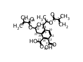 C=C(C)C(=O)OC(C)Cc1ccc(C(=O)O)c(C(=O)O)c1CC(C)OC(=O)C(=C)C